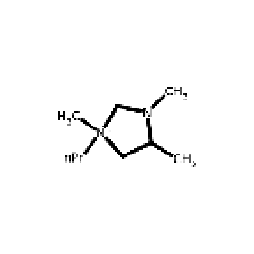 CCC[N+]1(C)CC(C)N(C)C1